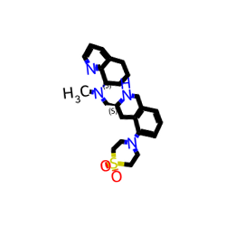 CN(C[C@@H]1Cc2c(cccc2N2CCS(=O)(=O)CC2)CN1)[C@H]1CCCc2cccnc21